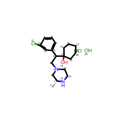 C[C@@H]1CN(CC(c2cccc(Cl)c2)C2(O)CCCCC2)CCN1.Cl.Cl